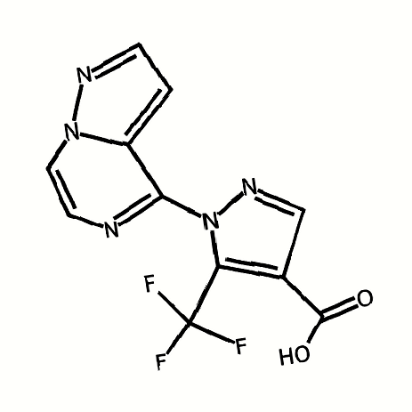 O=C(O)c1cnn(-c2nccn3nccc23)c1C(F)(F)F